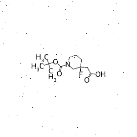 CC(C)(C)OC(=O)N1CCC[C@](F)(CC(=O)O)C1